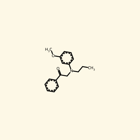 CCCN(CC(=O)c1ccccc1)c1cccc(OC)c1